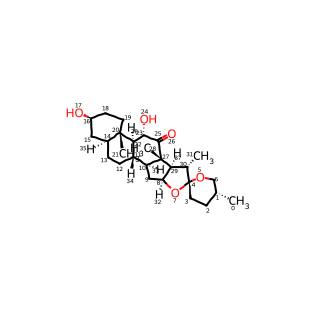 C[C@@H]1CC[C@@]2(OC1)O[C@H]1C[C@H]3[C@@H]4CC[C@H]5C[C@@H](O)CC[C@]5(C)[C@H]4[C@H](O)C(=O)[C@]3(C)[C@H]1[C@@H]2C